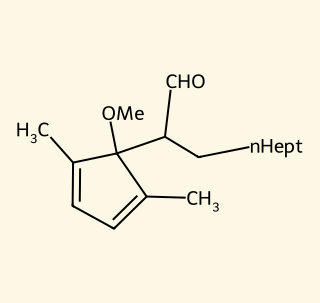 CCCCCCCCC(C=O)C1(OC)C(C)=CC=C1C